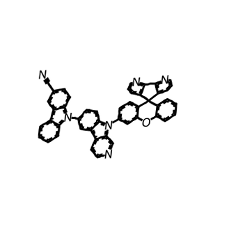 N#Cc1ccc2c(c1)c1ccccc1n2-c1ccc2c(c1)c1ccncc1n2-c1ccc2c(c1)Oc1ccccc1C21c2cccnc2-c2ncccc21